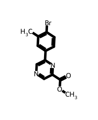 COC(=O)c1cncc(-c2ccc(Br)c(C)c2)n1